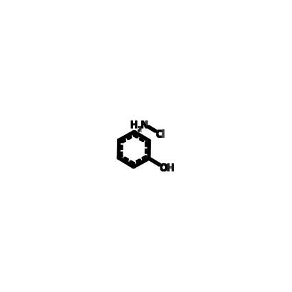 NCl.Oc1ccccc1